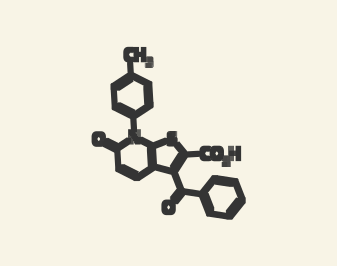 Cc1ccc(-n2c(=O)ccc3c(C(=O)c4ccccc4)c(C(=O)O)sc32)cc1